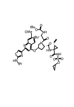 C=C[C@@H]1C[C@]1(NC(=O)[C@@H]1C[C@@H](Oc2cc(-c3csc(NC(C)C)n3)nc3cc(OC)ccc23)CN1C(=O)[C@@H](NC(=O)OC(C)(C)C)C(C)(C)C)C(=O)NS(=O)(=O)OC1CC1